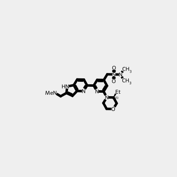 CC[C@H]1COCCN1c1cc(CS(=O)(=O)N(C)C)cc(-c2ccc3[nH]c(CNC)cc3n2)n1